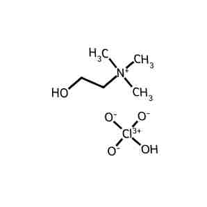 C[N+](C)(C)CCO.[O-][Cl+3]([O-])([O-])O